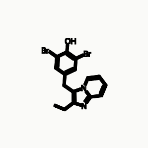 CCc1nc2ccccn2c1Cc1cc(Br)c(O)c(Br)c1